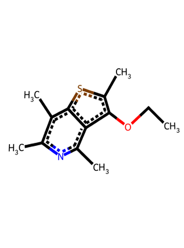 CCOc1c(C)sc2c(C)c(C)nc(C)c12